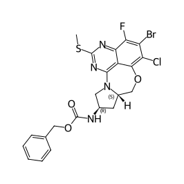 CSc1nc2c3c(c(Cl)c(Br)c(F)c3n1)OC[C@@H]1C[C@@H](NC(=O)OCc3ccccc3)CN21